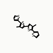 Cc1cc(-c2cc(C)c(-c3cccs3)s2)sc1-c1cccs1